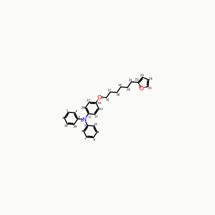 c1ccc(N(c2ccccc2)c2ccc(OCCCCCCc3ccco3)cc2)cc1